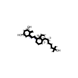 C=C1/C(=C\C=C2/CCC[C@]3(C)[C@@H]([C@H](C)CCCC(C)(C)O)CC[C@@H]23)C[C@H](O)C[C@@H]1O